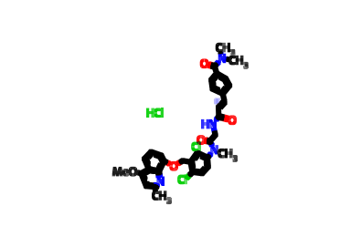 COc1cc(C)nc2c(OCc3c(Cl)ccc(N(C)C(=O)CNC(=O)/C=C/c4ccc(C(=O)N(C)C)cc4)c3Cl)cccc12.Cl